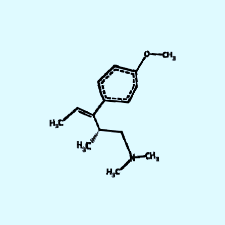 C/C=C(/c1ccc(OC)cc1)[C@@H](C)CN(C)C